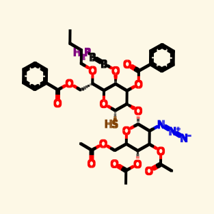 CCCCO[C@@H](COC(=O)c1ccccc1)C1O[C@@H](S)[C@H](O[C@H]2OC(COC(C)=O)[C@@H](OC(C)=O)C(OC(C)=O)C2N=[N+]=[N-])C(OC(=O)c2ccccc2)[C@@H]1OB=BP